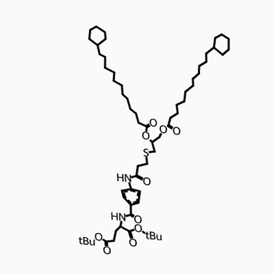 CC(C)(C)OC(=O)CCC(NC(=O)c1ccc(NC(=O)CCSCC(COC(=O)CCCCCCCCCCCC2CCCCC2)OC(=O)CCCCCCCCCCCC2CCCCC2)cc1)C(=O)OC(C)(C)C